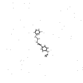 N#CCc1ccc(C#CCCCc2ccccc2)cc1